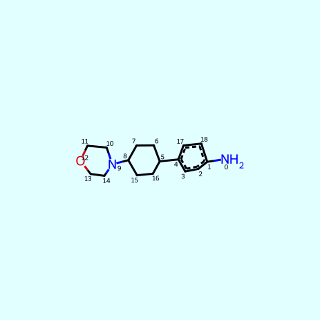 Nc1ccc(C2CCC(N3CCOCC3)CC2)cc1